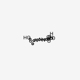 O=C1CCC(N2C(=O)c3cc4c(cc3C2=O)CN(CCN2CCC3(CC2)CCN(c2ccc([C@@H]5c6ccc(O)cc6CC[C@@H]5c5ccccc5)cc2)CC3)C4)C(=O)N1